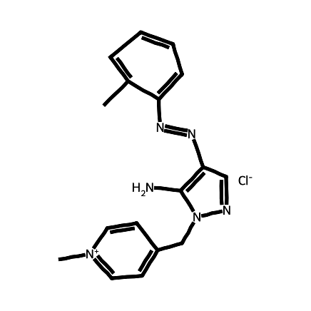 Cc1ccccc1N=Nc1cnn(Cc2cc[n+](C)cc2)c1N.[Cl-]